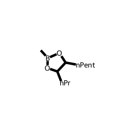 CCCCCC1OB(C)OC1CCC